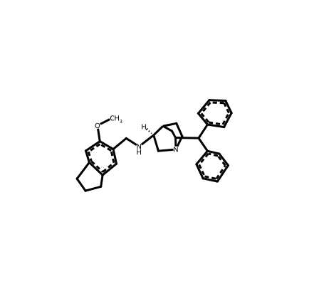 COc1cc2c(cc1CN[C@@H]1CN3CCC1CC3C(c1ccccc1)c1ccccc1)CCC2